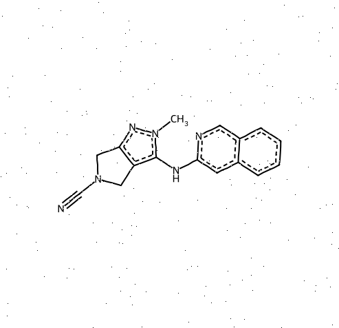 Cn1nc2c(c1Nc1cc3ccccc3cn1)CN(C#N)C2